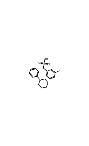 Cc1cccc(CS(=O)(=O)O)c1.c1ccc(N2CCCCC2)cc1